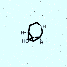 C[C@@]1(O)[C@@H]2CCNC[C@H]1CC2